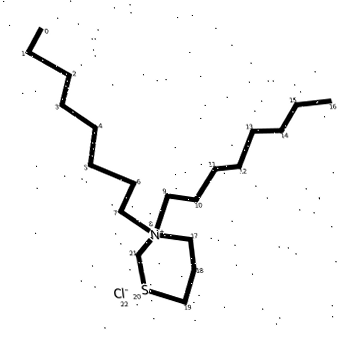 CCCCCCCC[N+]1(CCCCCCCC)CCCSC1.[Cl-]